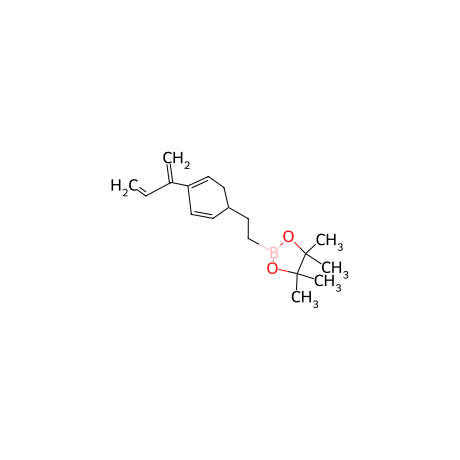 C=CC(=C)C1=CCC(CCB2OC(C)(C)C(C)(C)O2)C=C1